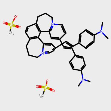 CN(C)c1ccc(/C=C/c2cc[n+]3c(c2)-c2c(ccc4c2-c2cc(/C=C/c5ccc(N(C)C)cc5)cc[n+]2CCC4)CCC3)cc1.O=S(=O)([O-])C(F)(F)F.O=S(=O)([O-])C(F)(F)F